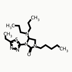 CCCCCN1CC(N(CCC)CCC)N(c2nnc(CC)s2)C1=O